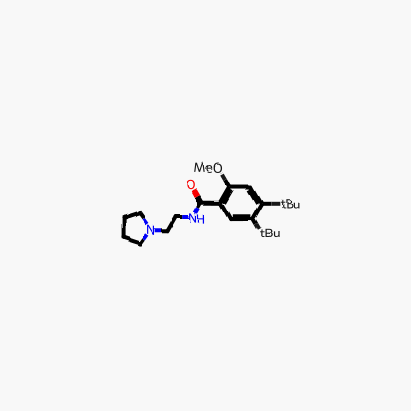 COc1cc(C(C)(C)C)c(C(C)(C)C)cc1C(=O)NCCN1CCCC1